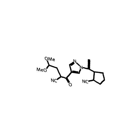 C=C(C1CCCC1C#N)n1cc(C(=O)C(C#N)CC(OC)OC)cn1